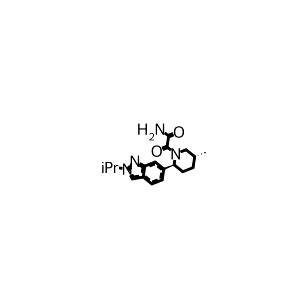 CC(C)n1cc2ccc([C@@H]3CC[C@@H](C)CN3C(=O)C(N)=O)cc2n1